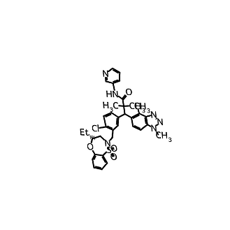 CC[C@@H]1CN(Cc2cc(C(c3ccc4c(nnn4C)c3C)C(C)(C)C(=O)Nc3cccnc3)ccc2Cl)S(=O)(=O)c2ccccc2O1